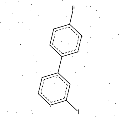 Fc1ccc(-c2cc[c]c(I)c2)cc1